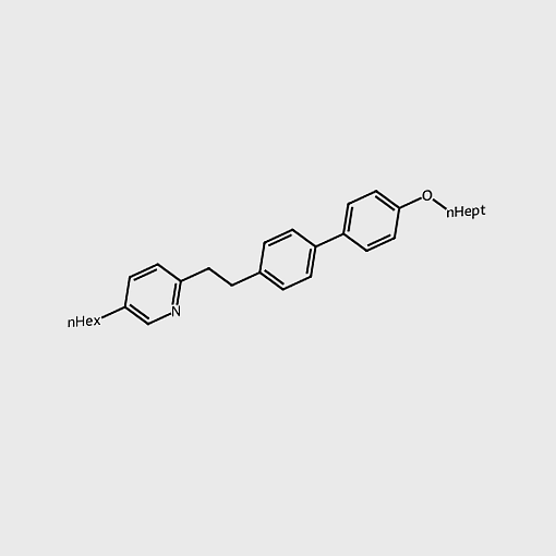 CCCCCCCOc1ccc(-c2ccc(CCc3ccc(CCCCCC)cn3)cc2)cc1